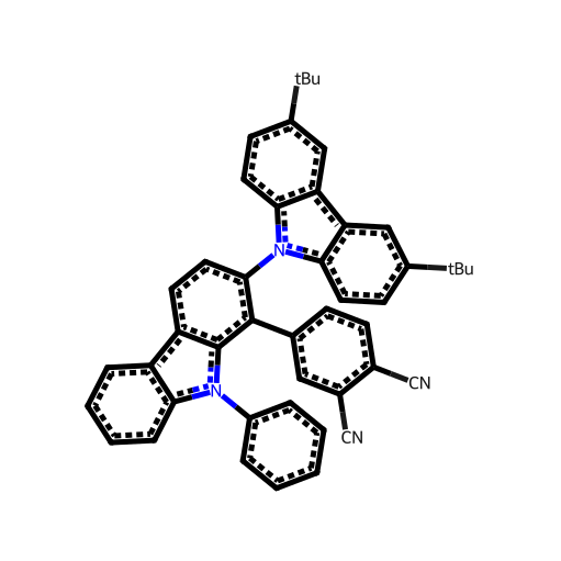 CC(C)(C)c1ccc2c(c1)c1cc(C(C)(C)C)ccc1n2-c1ccc2c3ccccc3n(-c3ccccc3)c2c1-c1ccc(C#N)c(C#N)c1